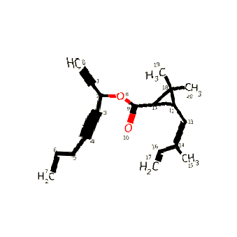 C#CC(C#CCC=C)OC(=O)C1C(C=C(C)C=C)C1(C)C